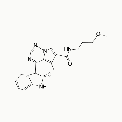 COCCCNC(=O)c1cn2ncnc(C3C(=O)Nc4ccccc43)c2c1C